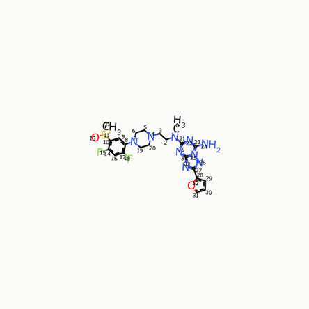 CN(CCN1CCN(c2cc([S@+](C)[O-])c(F)cc2F)CC1)c1nc(N)n2nc(-c3ccco3)nc2n1